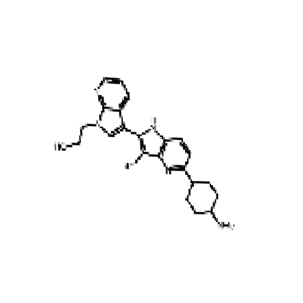 CNC1CCC(c2ccc3[nH]c(-c4cn(CCO)c5ncccc45)c(C(C)C)c3n2)CC1